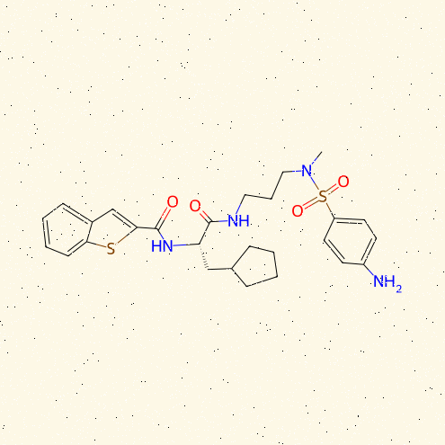 CN(CCCNC(=O)[C@H](CC1CCCC1)NC(=O)c1cc2ccccc2s1)S(=O)(=O)c1ccc(N)cc1